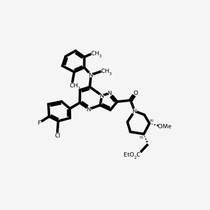 CCOC(=O)C[C@@H]1CCN(C(=O)c2cc3nc(-c4ccc(F)c(Cl)c4)cc(N(C)c4c(C)cccc4C)n3n2)C[C@@H]1OC